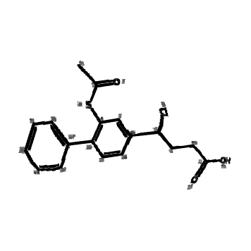 CC(=O)Sc1cc(C(Cl)CCC(=O)O)ccc1-c1ccccc1